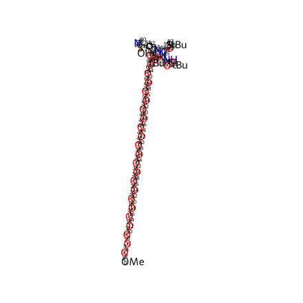 COCCOCCOCCOCCOCCOCCOCCOCCOCCOCCOCCOCCOCCOCCOCCOCCOCCOCCOCCOCCOCCOCCOCC(=O)OCc1cc(-c2scnc2C)ccc1CN(C=O)[C@@H]1C[C@@H](O[Si](C)(C)C(C)(C)C)CN1C(=O)[C@@H](NC(=O)OC(C)(C)C)C(C)(C)C